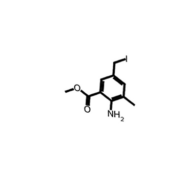 COC(=O)c1cc(CI)cc(C)c1N